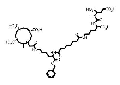 CC1CN(C(=O)O)CCN(C(=O)O)CCN(C(=O)O)CCN1CC(=O)NCCCCC(NC(=O)CCCCCCC(=O)NCCCCC(NC(=O)NC(CCC(=O)O)C(=O)O)C(=O)O)C(=O)OCc1ccccc1